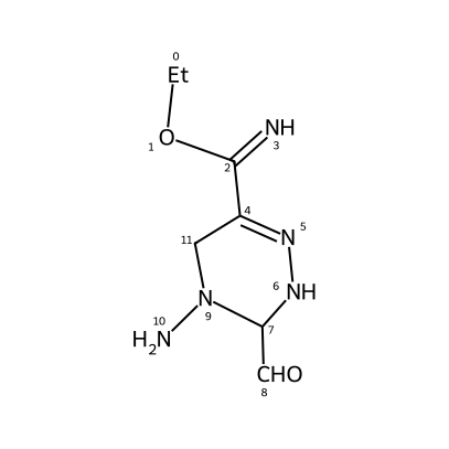 CCOC(=N)C1=NNC(C=O)N(N)C1